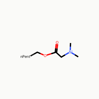 CCCCCCOC(=O)C[N+](C)C